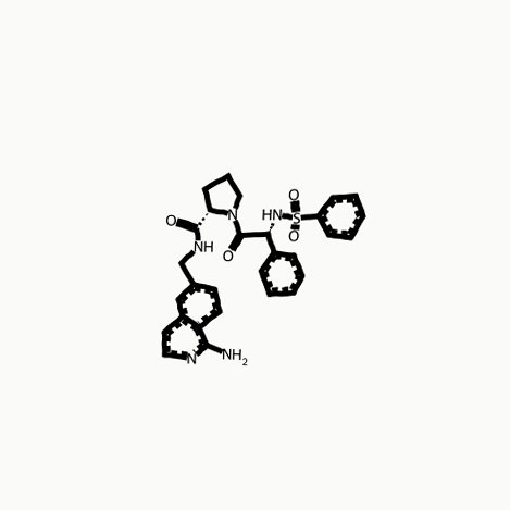 Nc1nccc2cc(CNC(=O)[C@@H]3CCCN3C(=O)[C@H](NS(=O)(=O)c3ccccc3)c3ccccc3)ccc12